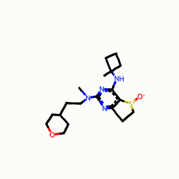 CN(CCC1CCOCC1)c1nc2c(c(NC3(C)CCC3)n1)[S+]([O-])CC2